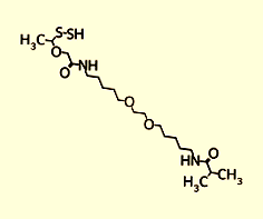 CC(OCC(=O)NCCCCCOCCOCCCCCNC(=O)C(C)C)SS